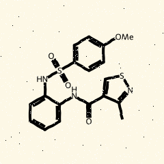 COc1ccc(S(=O)(=O)Nc2ccccc2NC(=O)c2csnc2C)cc1